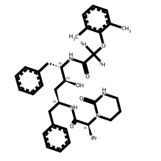 [2H]C([2H])(Oc1c(C)cccc1C)C(=O)N[C@@H](Cc1ccccc1)[C@@H](O)C[C@H](Cc1ccccc1)NC(=O)[C@H](C(C)C)N1CCCNC1=O